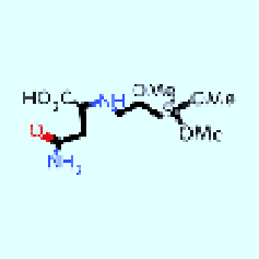 CO[Si](CCCN[C@@H](CC(N)=O)C(=O)O)(OC)OC